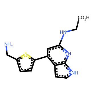 NCc1ccc(-c2cc(NCC(=O)O)nc3[nH]ccc23)s1